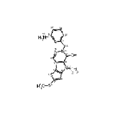 CSc1cc2c(s1)c1cnn(Cc3cccc(N)c3)c(=O)c1n2C